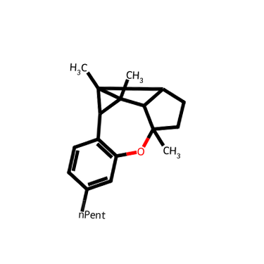 CCCCCc1ccc2c(c1)OC1(C)CCC3C1C1(C)C2C31C